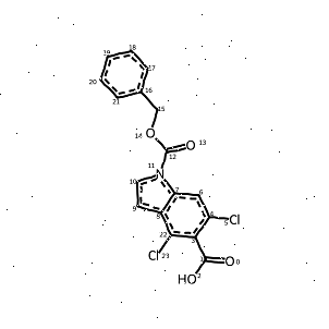 O=C(O)c1c(Cl)cc2c(ccn2C(=O)OCc2ccccc2)c1Cl